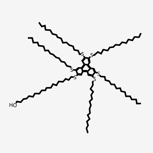 CCCCCCCCCCCCCCCCSc1cc2c3cc(SCCCCCCCCCCCCCCCC)c(SCCCCCCCCCCCCCCCC)cc3c3cc(SCCCCCCCCCCCCCCCCCCCO)c(SCCCCCCCCCCCCCCCC)cc3c2cc1SCCCCCCCCCCCCCCCC